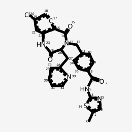 Cc1cnc(NC(=O)c2ccc(CN3C(=O)c4ccc(Cl)cc4NC(=O)C3Cc3ccccn3)cc2)s1